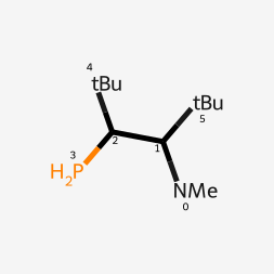 CNC(C(P)C(C)(C)C)C(C)(C)C